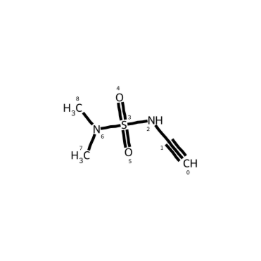 C#CNS(=O)(=O)N(C)C